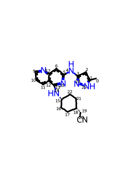 Cc1cc(Nc2cc3ncccc3c(N[C@H]3CC[C@@H](CC#N)CC3)n2)n[nH]1